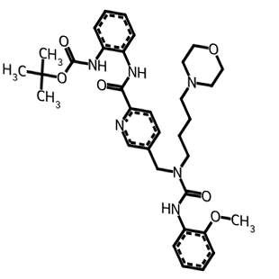 COc1ccccc1NC(=O)N(CCCCN1CCOCC1)Cc1ccc(C(=O)Nc2ccccc2NC(=O)OC(C)(C)C)nc1